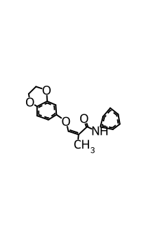 CC(=COc1ccc2c(c1)OCCO2)C(=O)Nc1ccccc1